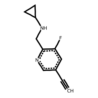 C#Cc1cnc(CNC2CC2)c(F)c1